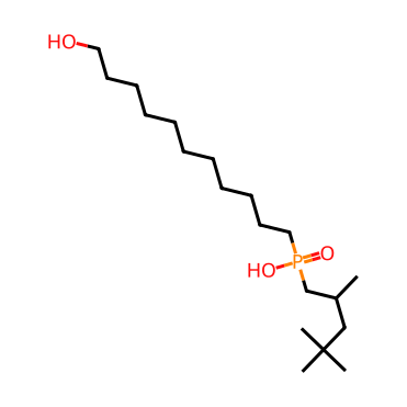 CC(CC(C)(C)C)CP(=O)(O)CCCCCCCCCCCO